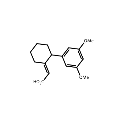 COc1cc(OC)cc(C2CCCC/C2=C\C(=O)O)c1